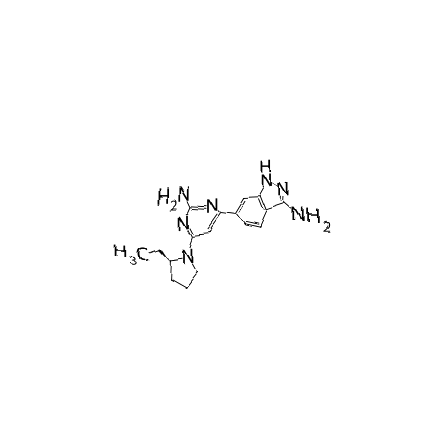 CC[C@@H]1CCCN1c1cc(-c2ccc3c(N)n[nH]c3c2)nc(N)n1